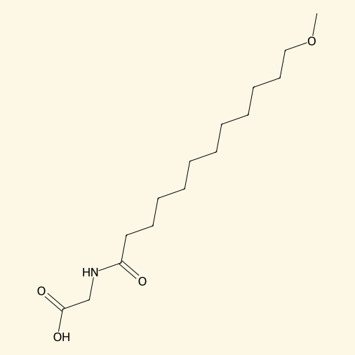 COCCCCCCCCCCCC(=O)NCC(=O)O